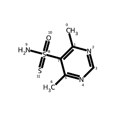 Cc1ncnc(C)c1S(N)(=O)=S